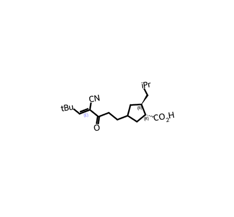 CC(C)C[C@@H]1CC(CCC(=O)/C(C#N)=C/C(C)(C)C)C[C@H]1C(=O)O